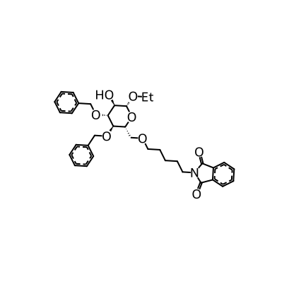 CCO[C@@H]1O[C@H](COCCCCCN2C(=O)c3ccccc3C2=O)[C@@H](OCc2ccccc2)[C@H](OCc2ccccc2)[C@H]1O